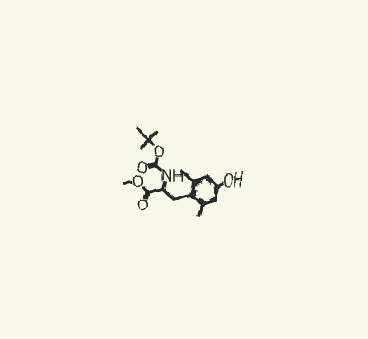 COC(=O)C(Cc1c(C)cc(O)cc1C)NC(=O)OC(C)(C)C